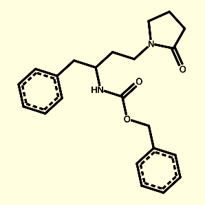 O=C(NC(CCN1CCCC1=O)Cc1ccccc1)OCc1ccccc1